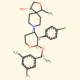 CC1OC[C@@H](O)C12CCN([C@@H]1CCO[C@H](O[C@H](C)c3cc(C(F)(F)F)cc(C(F)(F)F)c3)[C@@H]1c1ccc(F)cc1)CC2